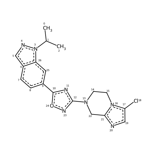 CC(C)n1ncc2ccc(-c3nc(N4CCn5c(Cl)cnc5C4)no3)cc21